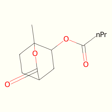 CCCC(=O)OC1CC2CCC1(C)OC2=O